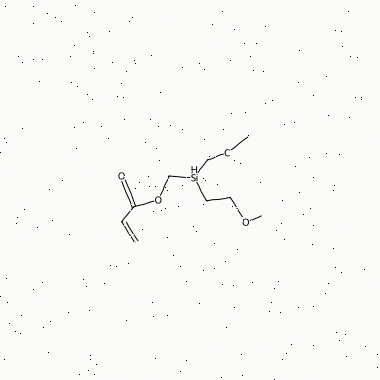 C=CC(=O)OC[SiH](CCC)CCOC